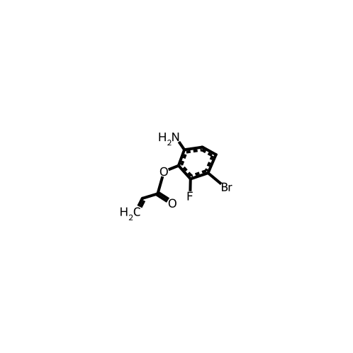 C=CC(=O)Oc1c(N)ccc(Br)c1F